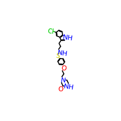 O=C1CN(CCCOc2ccc(SNCCCc3c[nH]c4ccc(Cl)cc34)cc2)CCN1